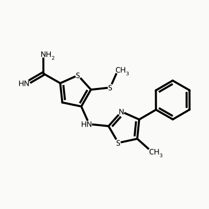 CSc1sc(C(=N)N)cc1Nc1nc(-c2ccccc2)c(C)s1